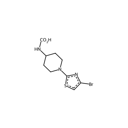 O=C(O)NC1CCN(c2nc(Br)cs2)CC1